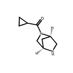 O=C(C1CC1)N1C[C@H]2C[C@@H]1CN2